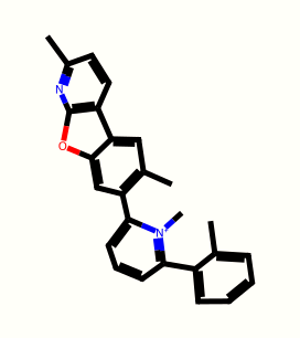 Cc1ccc2c(n1)oc1cc(-c3cccc(-c4ccccc4C)[n+]3C)c(C)cc12